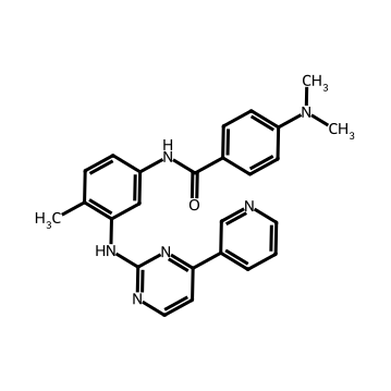 Cc1ccc(NC(=O)c2ccc(N(C)C)cc2)cc1Nc1nccc(-c2cccnc2)n1